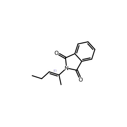 CC/C=C(\C)N1C(=O)c2ccccc2C1=O